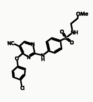 COCCNS(=O)(=O)c1ccc(Nc2ncc(C#N)c(Oc3ccc(Cl)cc3)n2)cc1